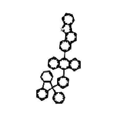 C1=CC2=C(CC1)c1ccccc1C2(c1ccccc1)c1cccc(-c2c3ccccc3c(-c3ccc4c(ccc5c6ccccc6sc45)c3)c3ccccc23)c1